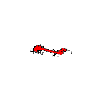 COc1cc(C(=O)NCCOCCOCCOCCOCCC(=O)NCC(=O)NCC(=O)N[C@@H](Cc2ccccc2)C(=O)NCC(=O)Nc2ccc(COC(C)=O)cc2)ccc1NC(=O)[C@@H]1N[C@@H](CC(C)(C)C)[C@](C#N)(c2ccc(Cl)cc2F)[C@H]1c1cccc(Cl)c1F